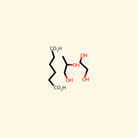 CC(O)CO.O=C(O)CCCCC(=O)O.OCCO